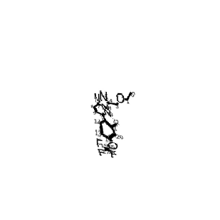 CCOCc1nnc2ccc(-c3ccc(OC(F)(F)F)cc3C)nn12